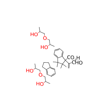 C=C(C=O)C1(C(=O)O)c2ccccc2C(C)(C)C1(C)C.CC(O)COCC(C)O.CC(O)COCC(C)O.c1ccc2c(c1)CCC2